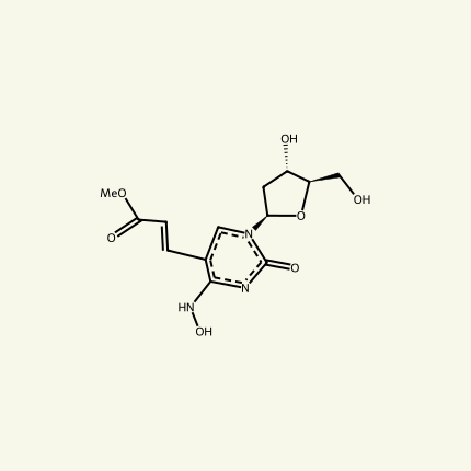 COC(=O)C=Cc1cn([C@H]2C[C@H](O)[C@@H](CO)O2)c(=O)nc1NO